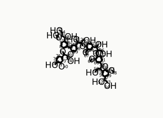 COc1cc(C2Oc3ccc(C(O)C(CO)OO)cc3-c3cc(C(O)C(CO)Oc4ccc(C(O)C(CO)Oc5ccc(C6Oc7c(OC)cc(C(O)CO)cc7C6CO)cc5OC)cc4OC)ccc3OC2CO)ccc1O